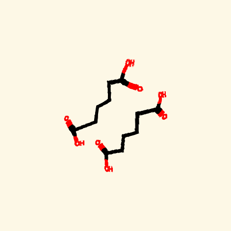 O=C(O)CCCCC(=O)O.O=C(O)CCCCC(=O)O